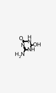 NC1=NC(=O)NC(O)N1